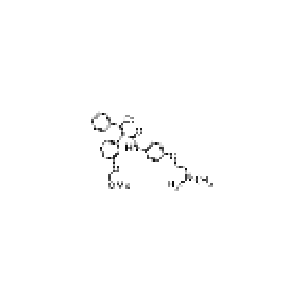 CC/C(=C(\C(=O)Nc1ccc(OCCN(C)C)cc1)c1cccc(OCOC)c1)c1ccccc1